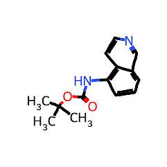 CC(C)(C)OC(=O)Nc1cccc2cnccc12